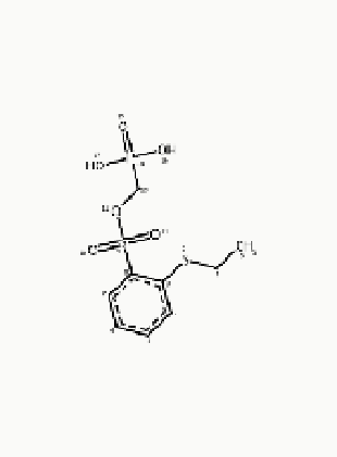 CCSc1ccccc1S(=O)(=O)OCP(=O)(O)O